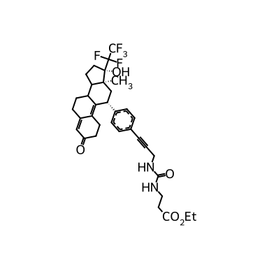 CCOC(=O)CCNC(=O)NCC#Cc1ccc([C@H]2C[C@@]3(C)C(CC[C@@]3(O)C(F)(F)C(F)(F)F)C3CCC4=CC(=O)CCC4=C32)cc1